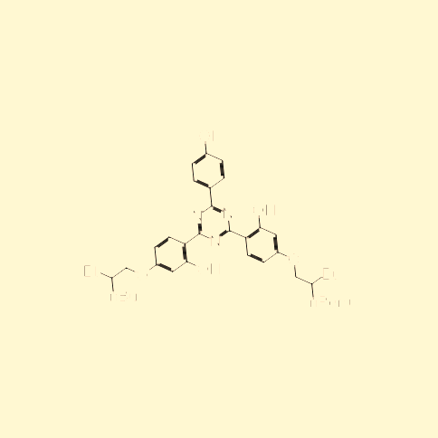 CCCCCC(CC)COc1ccc(-c2nc(-c3ccc(O)cc3)nc(-c3ccc(OCC(CC)CCCC)cc3O)n2)c(O)c1